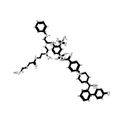 CN(CCOC(=O)CSCC(=O)O)CC[C@H](CSc1ccccc1)Nc1ccc(S(=O)(=O)NC(=O)c2ccc(N3CCC([C@@H](O)c4ccccc4-c4ccc(Cl)cc4)CC3)cc2)cc1S(=O)(=O)C(F)(F)F